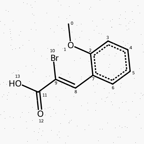 COc1ccccc1C=C(Br)C(=O)O